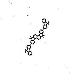 Cn1c2ccccc2c2cc(-c3ccc4c(c3)C(C)(C)c3ccc5c6c(ccc5c3-4)C(C)(C)c3cc(-c4ccc5c(c4)c4ccccc4n5C)ccc3-6)ccc21